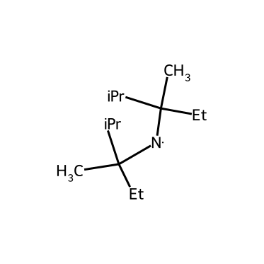 CCC(C)([N]C(C)(CC)C(C)C)C(C)C